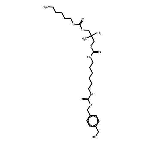 CCCCCCNC(=O)OCC(C)(C)COC(=O)NCCCCCCNC(=O)OCc1ccc(CO)cc1